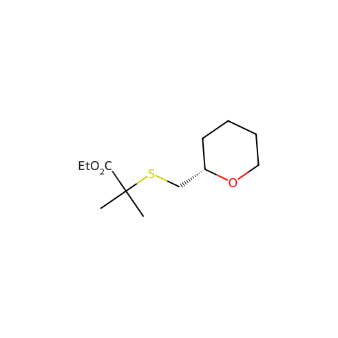 CCOC(=O)C(C)(C)SC[C@@H]1CCCCO1